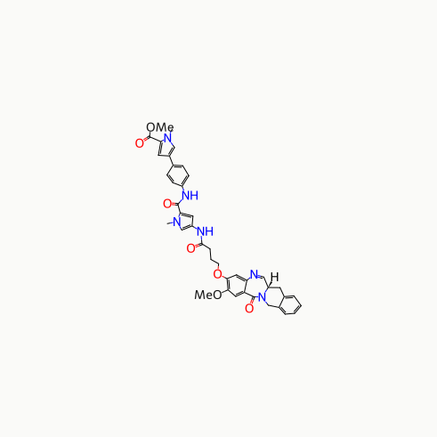 COC(=O)c1cc(-c2ccc(NC(=O)c3cc(NC(=O)CCCOc4cc5c(cc4OC)C(=O)N4Cc6ccccc6C[C@H]4C=N5)cn3C)cc2)cn1C